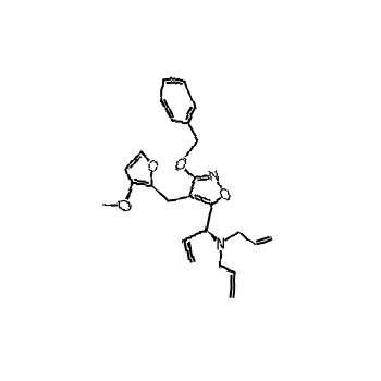 C=CCN(CC=C)[C@@H](C=C)c1onc(OCc2ccccc2)c1Cc1occc1OC